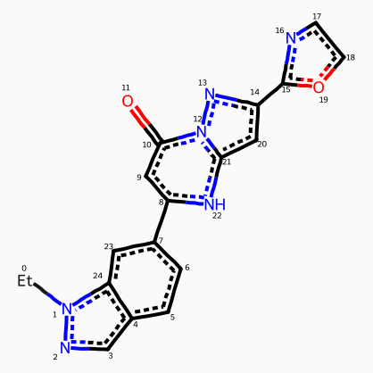 CCn1ncc2ccc(-c3cc(=O)n4nc(-c5ncco5)cc4[nH]3)cc21